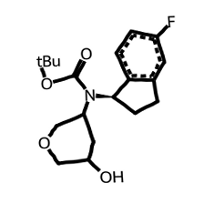 CC(C)(C)OC(=O)N(C1COCC(O)C1)[C@@H]1CCc2cc(F)ccc21